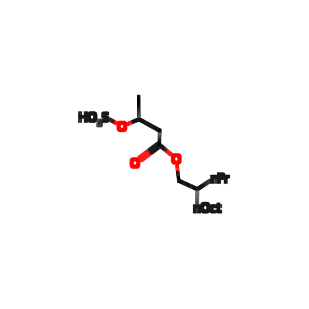 CCCCCCCCC(CCC)COC(=O)CC(C)OS(=O)(=O)O